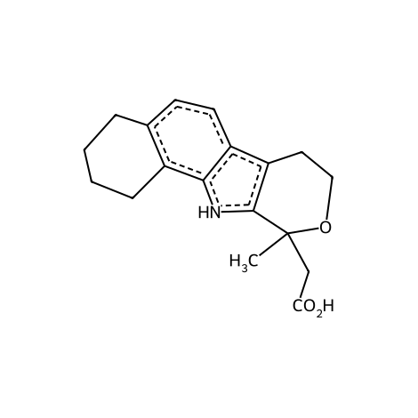 CC1(CC(=O)O)OCCc2c1[nH]c1c3c(ccc21)CCCC3